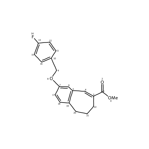 COC(=O)C1=Cc2cc(OCc3ccc(F)cc3)ccc2CCC1